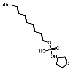 C1CCOC1.CCCCCCCCCCCCCCCCCCOP(=O)(O)O